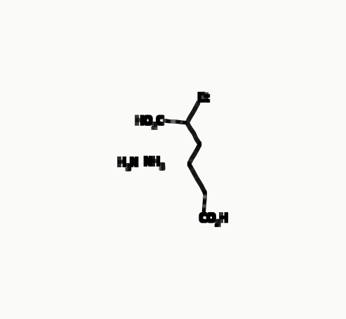 CCC(CCCC(=O)O)C(=O)O.N.N